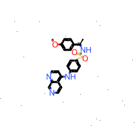 COc1ccc([C@@H](C)NS(=O)(=O)c2ccc(Nc3ccnc4cnccc34)cc2)cc1